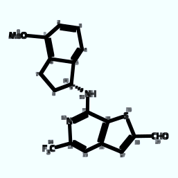 COc1cccc2c1CC[C@H]2Nc1nc(C(F)(F)F)cc2cc(C=O)sc12